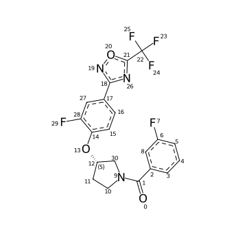 O=C(c1cccc(F)c1)N1CC[C@H](Oc2ccc(-c3noc(C(F)(F)F)n3)cc2F)C1